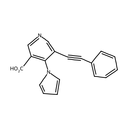 O=C(O)c1cncc(C#Cc2ccccc2)c1-n1cccc1